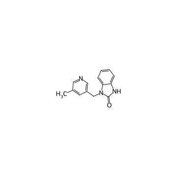 Cc1cncc(Cn2c(=O)[nH]c3ccccc32)c1